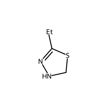 CCC1=NNCS1